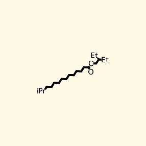 CCC(CC)COC(=O)CCCCCCCCCCCC(C)C